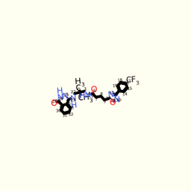 CC(C)(CNC(=O)CCCc1nc(-c2ccc(C(F)(F)F)cc2)no1)CNc1n[nH]c(=O)c2ccccc12